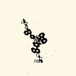 C=CC(=O)OCCOc1ccc(-c2ccc3nc(C4(c5nc6ccc(-c7ccc(OCCOC(O)C=C)c8ccccc78)cc6s5)c5ccccc5-c5ccccc54)sc3c2)c2ccccc12